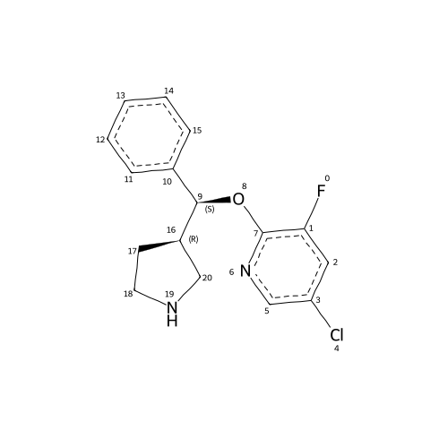 Fc1cc(Cl)cnc1O[C@H](c1ccccc1)[C@@H]1CCNC1